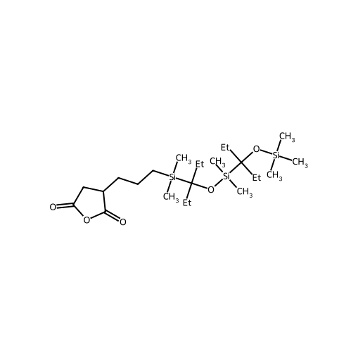 CCC(CC)(O[Si](C)(C)C(CC)(CC)O[Si](C)(C)C)[Si](C)(C)CCCC1CC(=O)OC1=O